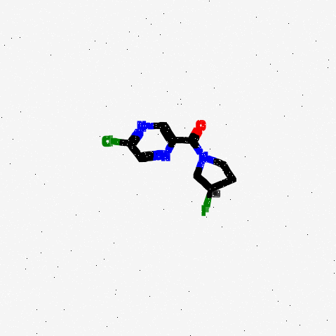 O=C(c1cnc(Cl)cn1)N1CC[C@@H](F)C1